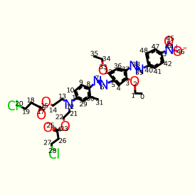 CCOc1cc(/N=N/c2ccc(N(CCOC(=O)CCCl)CCOC(=O)CCCl)cc2C)c(OCC)cc1/N=N/c1ccc([N+](=O)[O-])cc1